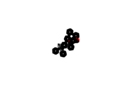 c1ccc(-c2nc3cc(-c4ccc5c(c4)C4(c6ccccc6-c6ccccc6-5)c5ccccc5-c5c4ccc4ccccc54)ccc3n2-c2ccccc2)cc1